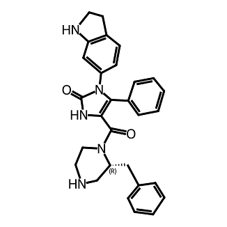 O=C(c1[nH]c(=O)n(-c2ccc3c(c2)NCC3)c1-c1ccccc1)N1CCNC[C@H]1Cc1ccccc1